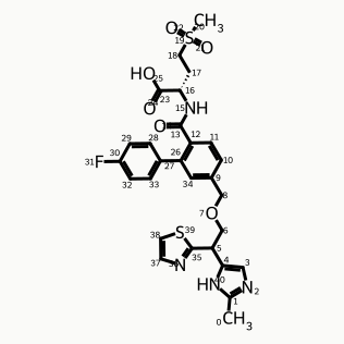 Cc1ncc(C(COCc2ccc(C(=O)N[C@@H](CCS(C)(=O)=O)C(=O)O)c(-c3ccc(F)cc3)c2)c2nccs2)[nH]1